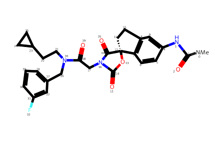 CNC(=O)Nc1ccc2c(c1)CC[C@@]21OC(=O)N(CC(=O)N(CCC2CC2)Cc2cccc(F)c2)C1=O